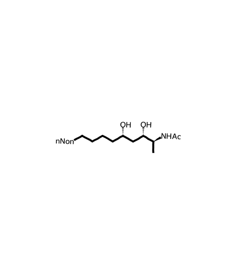 CCCCCCCCCCCCC[C@H](O)C[C@H](O)[C@H](C)NC(C)=O